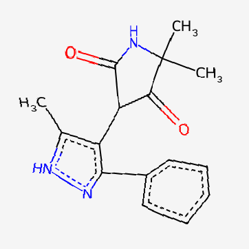 Cc1[nH]nc(-c2ccccc2)c1C1C(=O)NC(C)(C)C1=O